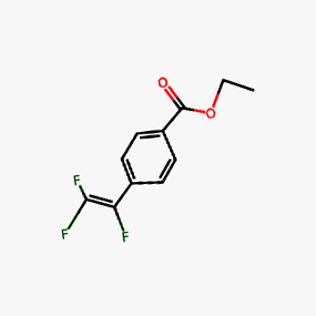 CCOC(=O)c1ccc(C(F)=C(F)F)cc1